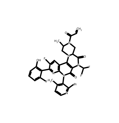 C=CC(=O)N1CC2C(=O)N(C(F)F)c3c(c4cc(F)c(-c5c(O)cccc5F)nc4n(-c4c(C)ccnc4C(C)C)c3=O)N2CC1C